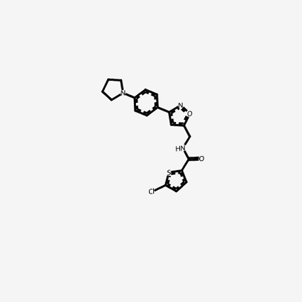 O=C(NCc1cc(-c2ccc(N3CCCC3)cc2)no1)c1ccc(Cl)s1